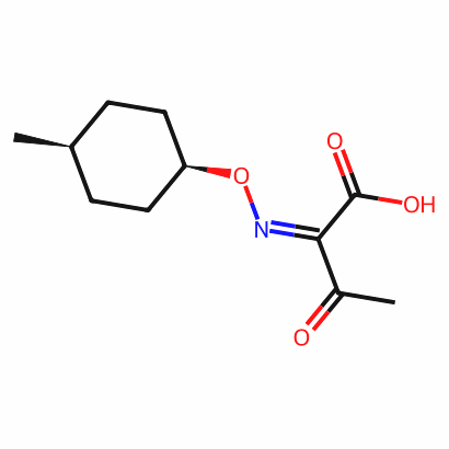 CC(=O)C(=NO[C@H]1CC[C@@H](C)CC1)C(=O)O